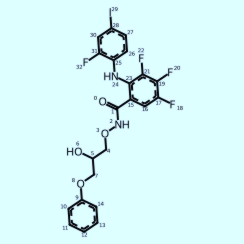 O=C(NOCC(O)COc1ccccc1)c1cc(F)c(F)c(F)c1Nc1ccc(I)cc1F